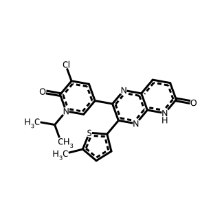 Cc1ccc(-c2nc3[nH]c(=O)ccc3nc2-c2cc(Cl)c(=O)n(C(C)C)c2)s1